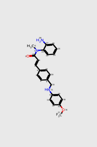 CN(C(=O)/C=C/c1ccc(CNc2ccc(OC(F)(F)F)cc2)cc1)c1ccccc1N